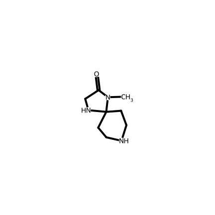 CN1C(=O)CNC12CCNCC2